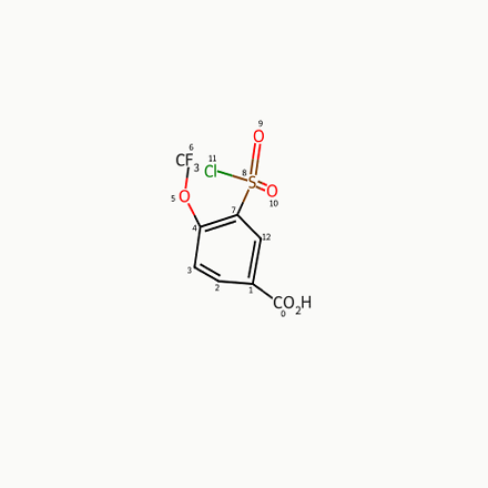 O=C(O)c1ccc(OC(F)(F)F)c(S(=O)(=O)Cl)c1